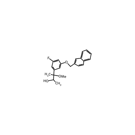 COC(C)(c1cc(F)cc(OCc2ccc3ccccc3c2)c1)C(C)O